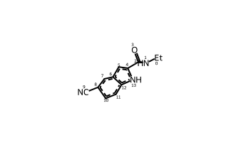 CCNC(=O)c1cc2cc(C#N)ccc2[nH]1